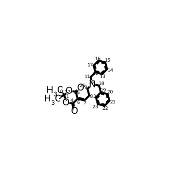 CC1(C)OC(=O)C(=CCCN(Cc2ccccc2)Cc2ccccc2)C(=O)O1